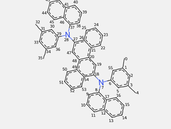 Cc1cc(C)cc(N(c2cccc3ccccc23)c2cc3c4ccccc4c(N(c4cc(C)cc(C)c4)c4cccc5ccccc45)cc3c3ccccc23)c1